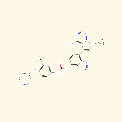 CN1CCC(Oc2ccc(NC(=O)Nc3ccc(-c4cn(C5CC5)c5ncnc(N)c45)c4ncoc34)cc2C(F)(F)F)CC1